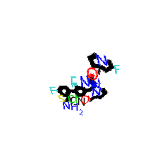 N#Cc1c(N)sc2c(F)ccc(-c3c(Cl)c4c5c(nc(OC[C@@]67CCCN6C[C@H](F)C7)nc5c3F)N3CCCC3CO4)c12